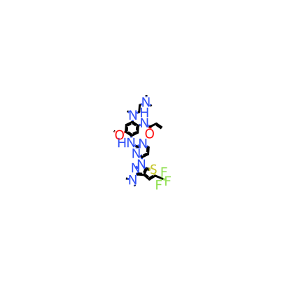 C=CC(=O)Nc1cc(Nc2nccc(-n3nc(N(C)C)c4cc(C(F)(F)F)sc43)n2)c(OC)cc1N(C)CCN(C)C